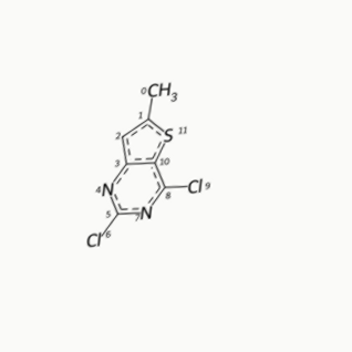 Cc1cc2nc(Cl)nc(Cl)c2s1